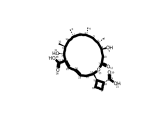 C[C@@H]1C[C@H](C)C[C@H](C)[C@@H](O)CC(=O)OC([C@@H]2CC[C@H]2C(=O)O)C/C=C/C=C(/C(=O)O)[C@H](O)[C@@H](C)C1